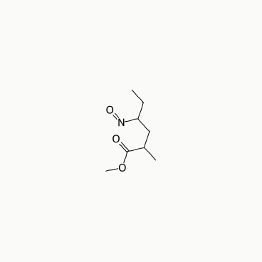 CCC(CC(C)C(=O)OC)N=O